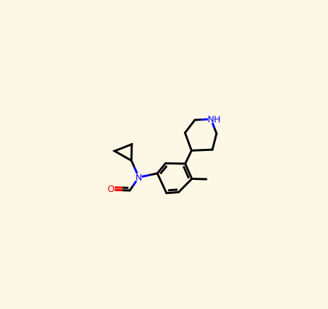 Cc1ccc(N(C=O)C2CC2)cc1C1CCNCC1